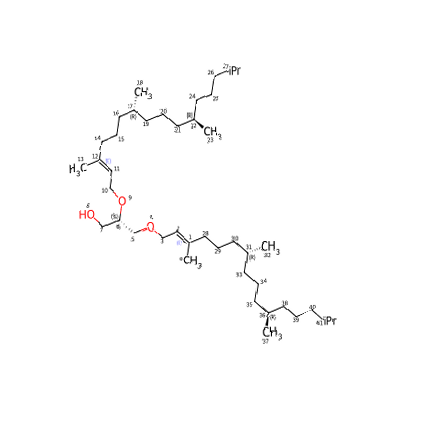 C/C(=C\COC[C@H](CO)OC/C=C(\C)CCC[C@H](C)CCC[C@H](C)CCCC(C)C)CCC[C@H](C)CCC[C@H](C)CCCC(C)C